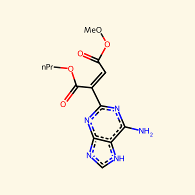 CCCOC(=O)/C(=C\C(=O)OOC)c1nc(N)c2[nH]cnc2n1